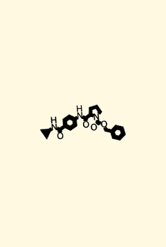 O=C(NC1CC1)c1ccc(NC(=O)C2CCCN2C(=O)OCc2ccccc2)cc1